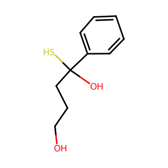 OCCCC(O)(S)c1ccccc1